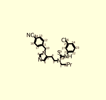 CC(C)CN(CCc1cncn1Cc1ccc(C#N)cc1)C(=S)Nc1cccc(Cl)c1